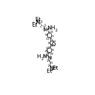 CCN(CC)CCCN=C(N)c1ccc(-c2coc(-c3ccc(C(N)=NCCCN(CC)CC)cc3)c2)cc1